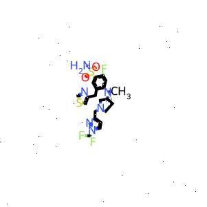 CN(c1cc(F)c(S(N)(=O)=O)cc1Cc1cscn1)[C@H]1CCN(Cc2ccn(C(F)F)n2)C1